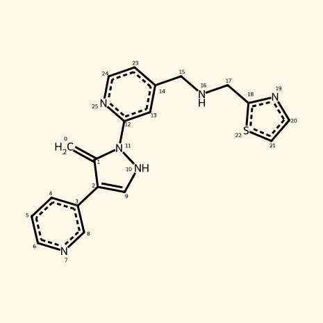 C=C1C(c2cccnc2)=CNN1c1cc(CNCc2nccs2)ccn1